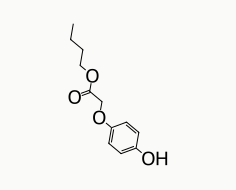 CCCCOC(=O)COc1ccc(O)cc1